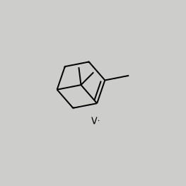 CC1=C2CC(CC1)C2(C)C.[V]